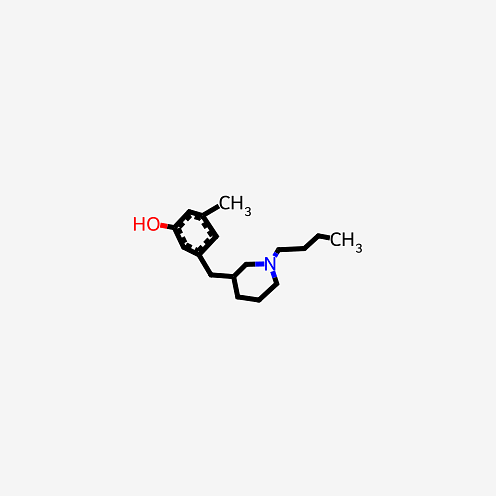 CCCCN1CCCC(Cc2cc(C)cc(O)c2)C1